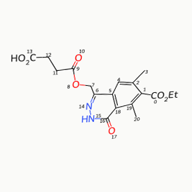 CCOC(=O)c1c(C)cc2c(COC(=O)CCC(=O)O)n[nH]c(=O)c2c1C